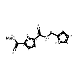 COC(=O)c1ccc(C(=O)NCc2ccco2)s1